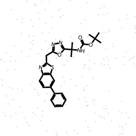 CC(C)(C)OC(=O)NC(C)(C)c1nnc(Cc2nc3ccc(-c4ccccc4)cc3s2)o1